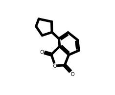 O=C1OC(=O)c2c1cccc2C1CCCC1